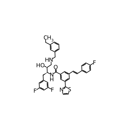 CCc1cccc(CNC[C@H](O)[C@H](Cc2cc(F)cc(F)c2)NC(=O)c2cc(C=Cc3ccc(F)cc3)cc(-c3nccs3)c2)c1